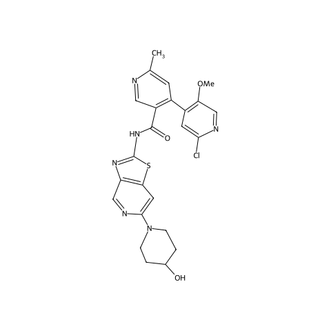 COc1cnc(Cl)cc1-c1cc(C)ncc1C(=O)Nc1nc2cnc(N3CCC(O)CC3)cc2s1